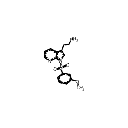 COc1cccc(S(=O)(=O)n2cc(CCN)c3cccnc32)c1